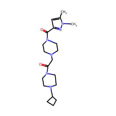 Cc1cc(C(=O)N2CCN(CC(=O)N3CCN(C4CCC4)CC3)CC2)nn1C